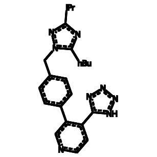 CCCCc1nc(C(C)C)nn1Cc1ccc(-c2cnccc2-c2nnn[nH]2)cc1